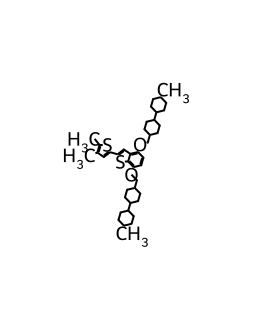 Cc1cc(-c2cc3c(OCC4CCC(C5CCC(C)CC5)CC4)ccc(OCC4CCC(C5CCC(C)CC5)CC4)c3s2)sc1C